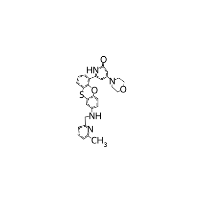 Cc1cccc(CNc2ccc3c(c2)Sc2cccc(-c4cc(N5CCOCC5)cc(=O)[nH]4)c2O3)n1